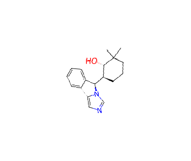 CC1(C)CCC[C@@H]([C@@H]2c3ccccc3-c3cncn32)[C@@H]1O